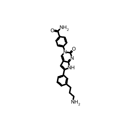 NCCCc1cccc(-c2cc3cn(-c4ccc(C(N)=O)cc4)c(=O)nc3[nH]2)c1